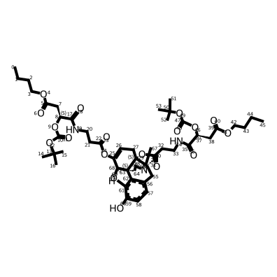 CCCCOC(=O)C[C@H](OC(=O)OC(C)(C)C)C(=O)NCCC(=O)OC1=CC[C@@]2(OC(=O)CCNC(=O)[C@H](CC(=O)OCCCC)OC(=O)OC(C)(C)C)[C@H]3Cc4ccc(O)c5c4[C@@]2(CCN3C)[C@H]1O5